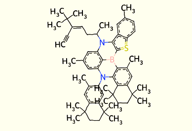 C#C/C(=C\CC(C)N1c2cc(C)cc3c2B(c2sc4ccc(C)cc4c21)c1c(C)cc2c(c1N3c1cc3c(cc1C)C(C)(C)CCC3(C)C)C(C)(C)CCC2(C)C)C(C)(C)C